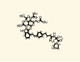 CC(C)(C)C(=O)OC[C@H]1O[C@@H](Oc2n[nH]c3cccc(CCc4ccc(CCCC(=O)NC(C)(C)C(=O)N5CCNCC5)cc4)c23)[C@H](OC(=O)C(C)(C)C)[C@@H](OC(=O)C(C)(C)C)[C@@H]1OC(=O)C(C)(C)C